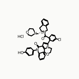 Cl.O=C(c1cc(-c2cc(Cl)ccc2C(=O)N2Cc3ccccc3C[C@H]2CN2CCOCC2)n2c1COCC2)N(c1ccccc1)c1ccc(O)cc1